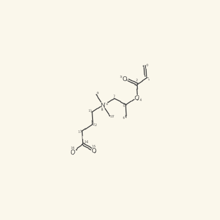 C=CC(=O)OC(C)C[N+](C)(C)CCCC(=O)[O-]